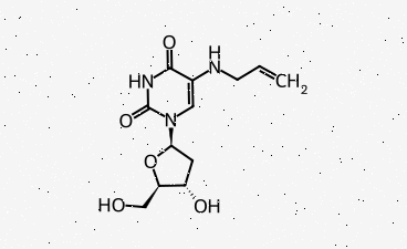 C=CCNc1cn([C@H]2C[C@H](O)[C@@H](CO)O2)c(=O)[nH]c1=O